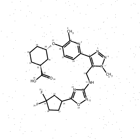 Cc1nc(-c2nnn(C)c2CNc2noc(C3CCC(F)(F)C3)n2)ccc1O[C@H]1CCC[C@H](C(=O)O)C1